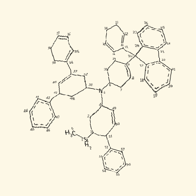 C[SiH2]C1CC(N(C2CC=C(C3(C4=CCCC=C4)c4ccccc4-c4ccccc43)CC2)C2CC(C3=CC=CCC3)=CC(c3ccccc3)C2)C=CC1c1ccccc1